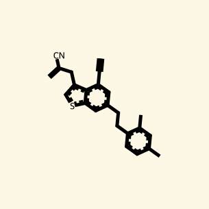 C#Cc1cc(CCc2ccc(C)cc2C)cc2scc(CC(=C)C#N)c12